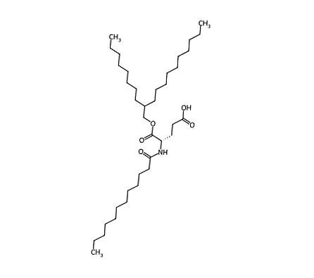 CCCCCCCCCCCC(=O)N[C@@H](CCC(=O)O)C(=O)OCC(CCCCCCCC)CCCCCCCCCC